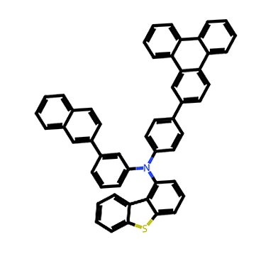 c1cc(-c2ccc3ccccc3c2)cc(N(c2ccc(-c3ccc4c5ccccc5c5ccccc5c4c3)cc2)c2cccc3sc4ccccc4c23)c1